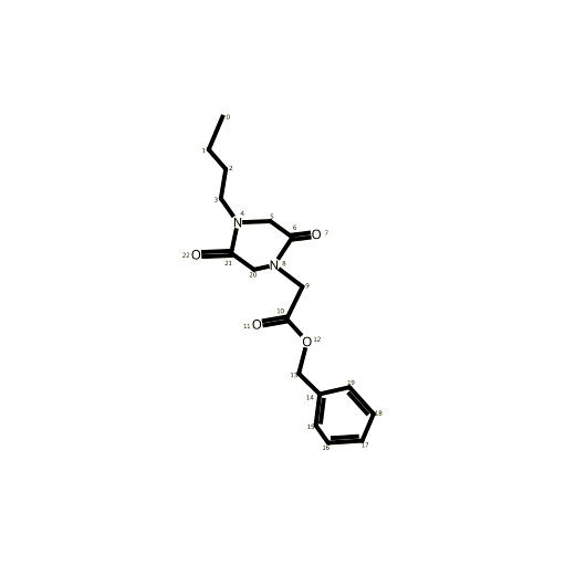 CCCCN1CC(=O)N(CC(=O)OCc2ccccc2)CC1=O